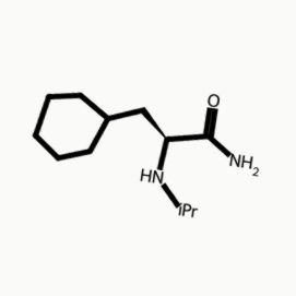 CC(C)N[C@@H](CC1CCCCC1)C(N)=O